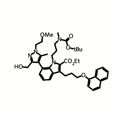 CCOC(=O)c1c(CCCOc2cccc3ccccc23)c2cccc(-c3c(CO)nn(CCOC)c3C)c2n1CCCN(C)C(=O)OC(C)(C)C